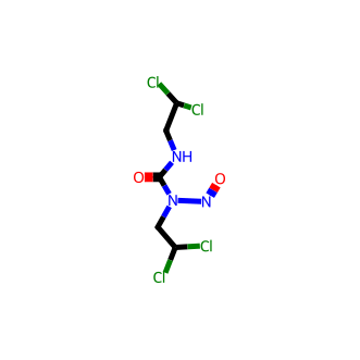 O=NN(CC(Cl)Cl)C(=O)NCC(Cl)Cl